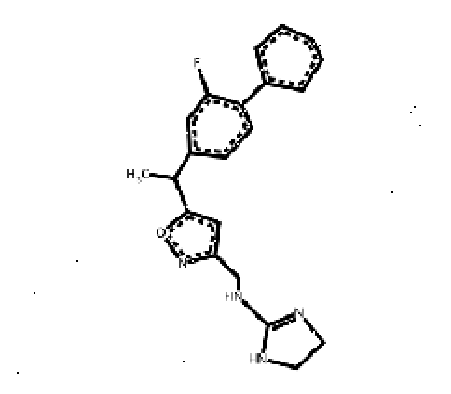 CC(c1ccc(-c2ccccc2)c(F)c1)c1cc(CNC2=NCCN2)no1